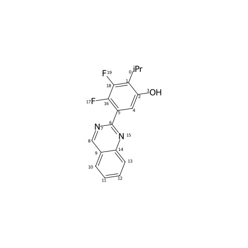 CC(C)c1c(O)cc(-c2ncc3ccccc3n2)c(F)c1F